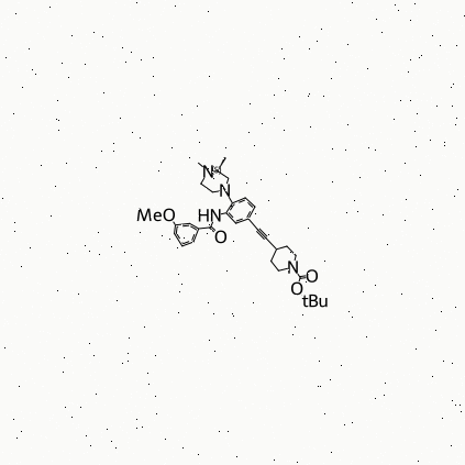 COc1cccc(C(=O)Nc2cc(C#CC3CCN(C(=O)OC(C)(C)C)CC3)ccc2N2CCN(C)[C@@H](C)C2)c1